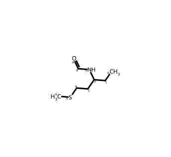 CCC(CCSC)NC=O